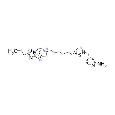 CCCc1nc2c(o1)C/C=C(/CCCCCCN1CCN(Cc3ccnc(N)c3)S1)C/C(C)=C/2